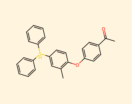 CC(=O)c1ccc(Oc2ccc([SH](c3ccccc3)c3ccccc3)cc2C)cc1